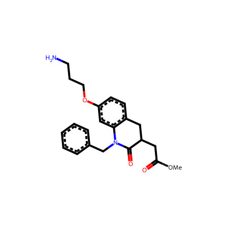 COC(=O)CC1Cc2ccc(OCCCN)cc2N(Cc2ccccc2)C1=O